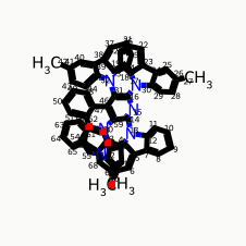 Cc1ccc2c(c1)c1ccccc1n2-c1nc(-n2c3ccccc3c3cc(C)ccc32)c(-n2c3ccccc3c3cc(C)ccc32)c(-c2ccccc2-c2ccncc2)c1-n1c2ccccc2c2cc(C)ccc21